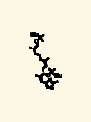 CC(=CC[C@H](O[Si](C)(C)C(C)(C)C)C(C)=Cc1csc(C)n1)CCC[C@H](C)CO[Si](C)(C)C(C)(C)C